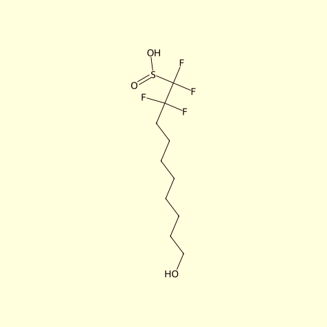 O=S(O)C(F)(F)C(F)(F)CCCCCCCCO